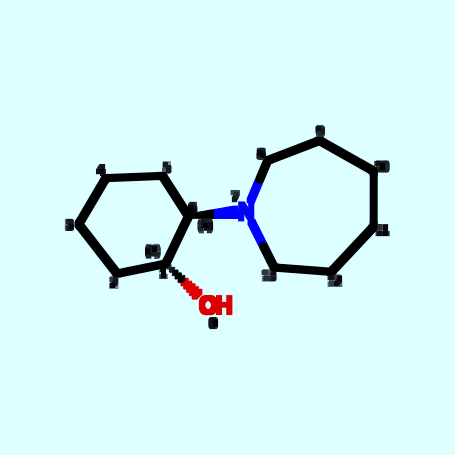 O[C@@H]1CCCC[C@H]1N1CCCCCC1